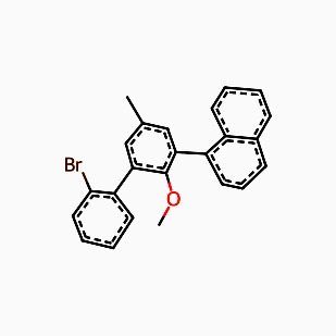 COc1c(-c2ccccc2Br)cc(C)cc1-c1cccc2ccccc12